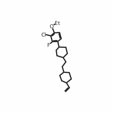 C=CC1CCC(CCC2CCC(c3ccc(OCC)c(Cl)c3F)CC2)CC1